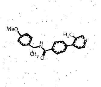 COc1ccc([C@@H](C)NC(=O)c2ccc(-c3ccncc3C)cc2)cc1